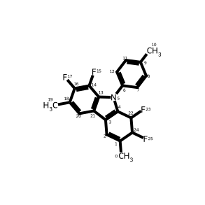 CC1=Cc2c(n(-c3ccc(C)cc3)c3c(F)c(F)c(C)cc23)C(F)C1F